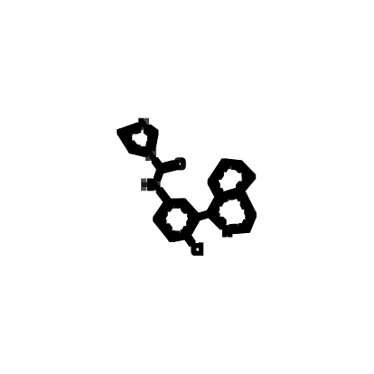 O=C(Nc1ccc(Cl)c(-c2nccc3ccccc23)c1)n1ccnc1